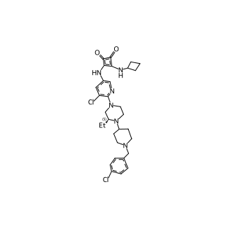 CC[C@H]1CN(c2ncc(Nc3c(NC4CCC4)c(=O)c3=O)cc2Cl)CCN1C1CCN(Cc2ccc(Cl)cc2)CC1